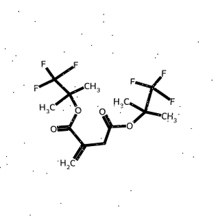 C=C(CC(=O)OC(C)(C)C(F)(F)F)C(=O)OC(C)(C)C(F)(F)F